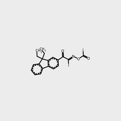 CCC1(CC)c2ccccc2-c2ccc(C(=O)/C(I)=N/OC(=O)I)cc21